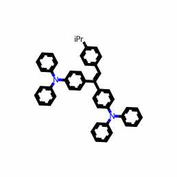 CC(C)c1ccc(C=C(c2ccc(N(c3ccccc3)c3ccccc3)cc2)c2ccc(N(c3ccccc3)c3ccccc3)cc2)cc1